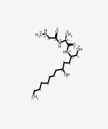 CCCCCCCCC(O)CCC(CO)NC(=O)[C@H](C)NC(=O)CNC